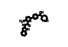 Nc1ncc(-c2ccc(C(O)N3CCCNCC3)cc2)nc1C(=O)Nc1cc2ccccc2[nH]1